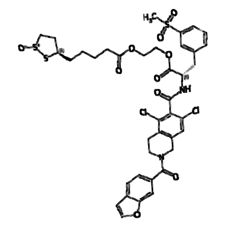 CS(=O)(=O)c1cccc(C[C@H](NC(=O)c2c(Cl)cc3c(c2Cl)CCN(C(=O)c2ccc4ccoc4c2)C3)C(=O)OCCOC(=O)CCCC[C@@H]2CC[S+]([O-])S2)c1